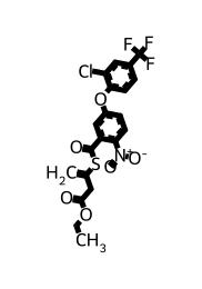 C=C(CC(=O)OCC)SC(=O)c1cc(Oc2ccc(C(F)(F)F)cc2Cl)ccc1[N+](=O)[O-]